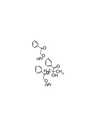 CC(C)(O)C(=O)c1ccccc1.CCCOCC(=O)c1ccccc1.CCCOCC(=O)c1ccccc1